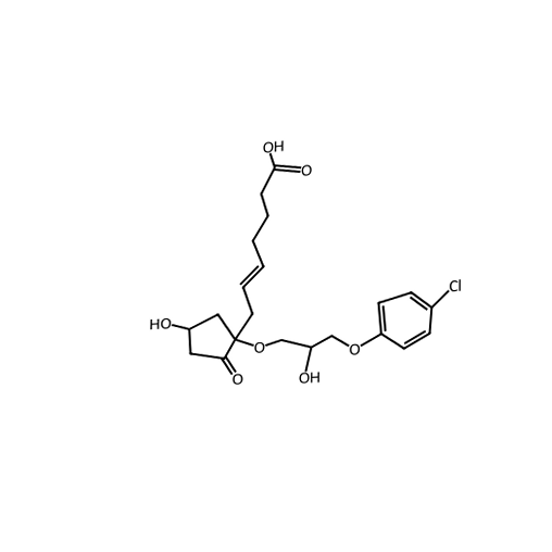 O=C(O)CCCC=CCC1(OCC(O)COc2ccc(Cl)cc2)CC(O)CC1=O